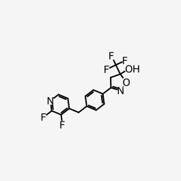 OC1(C(F)(F)F)CC(c2ccc(Cc3ccnc(F)c3F)cc2)=NO1